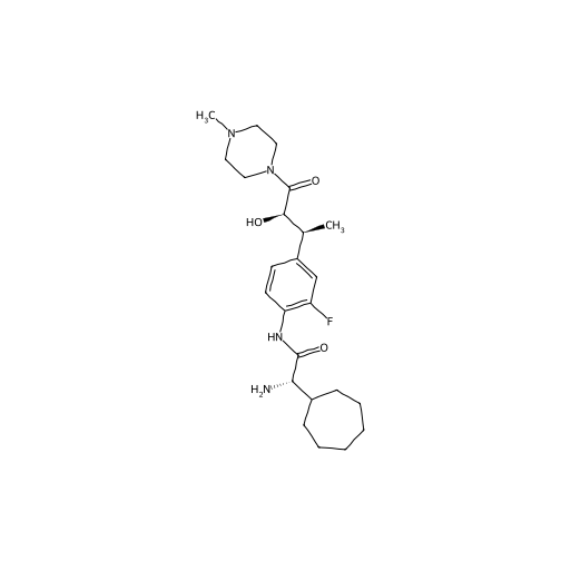 C[C@@H](c1ccc(NC(=O)[C@@H](N)C2CCCCCC2)c(F)c1)[C@@H](O)C(=O)N1CCN(C)CC1